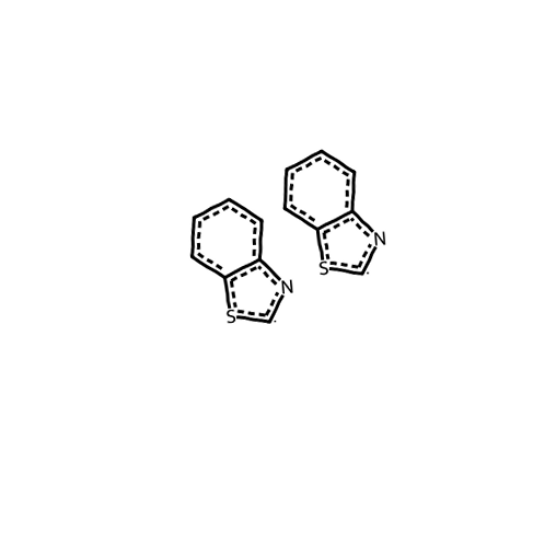 [c]1nc2ccccc2s1.[c]1nc2ccccc2s1